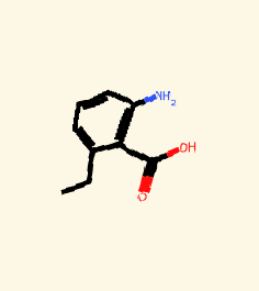 CCc1cccc(N)c1C(=O)O